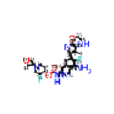 Cc1c(-c2cc3cc(NC(=O)O[C@H]4CCN(C5COC5)C[C@H]4F)ncc3c(N)c2F)cnc2c1NCCO2